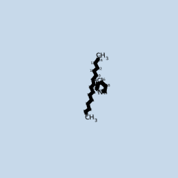 CCCCCCCCCCCCCCCC.Cl.c1ccncc1